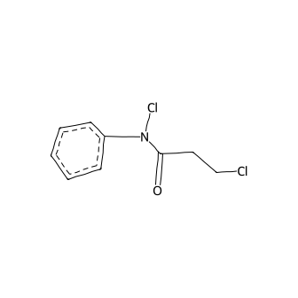 O=C(CCCl)N(Cl)c1ccccc1